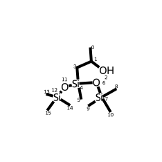 CC(O)C[Si](C)(O[Si](C)(C)C)O[Si](C)(C)C